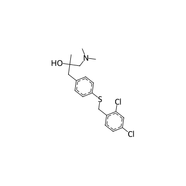 CN(C)CC(C)(O)Cc1ccc(SCc2ccc(Cl)cc2Cl)cc1